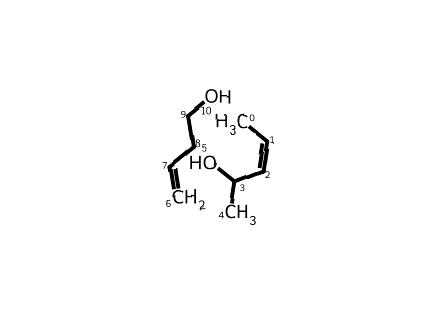 C/C=C\C(C)O.C=CCCO